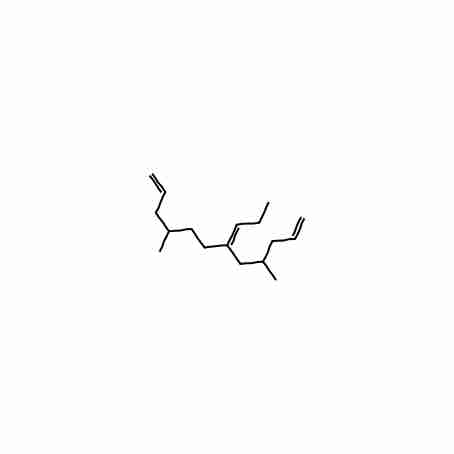 C=CCC(C)CCC(=CCC)CC(C)CC=C